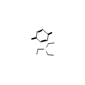 CCN(CC)CC.O=C1C=CC(=O)C=C1